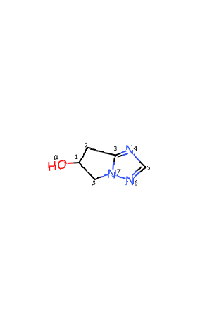 OC1Cc2ncnn2C1